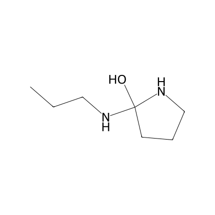 CCCNC1(O)CCCN1